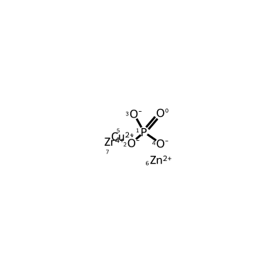 O=P([O-])([O-])[O-].[Cu+2].[Zn+2].[Zr+4]